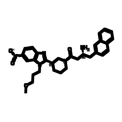 COCCCn1c([C@@H]2CCCN(C(=O)C[C@H](N)Cc3ccc4ccccc4c3)C2)nc2ccc([N+](=O)[O-])cc21